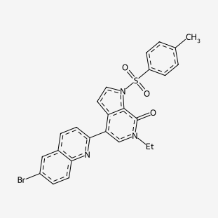 CCn1cc(-c2ccc3cc(Br)ccc3n2)c2ccn(S(=O)(=O)c3ccc(C)cc3)c2c1=O